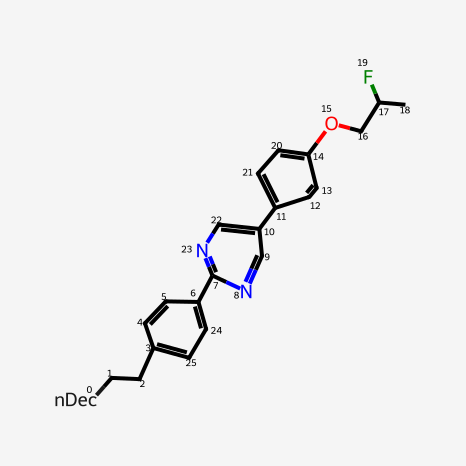 CCCCCCCCCCCCc1ccc(-c2ncc(-c3ccc(OCC(C)F)cc3)cn2)cc1